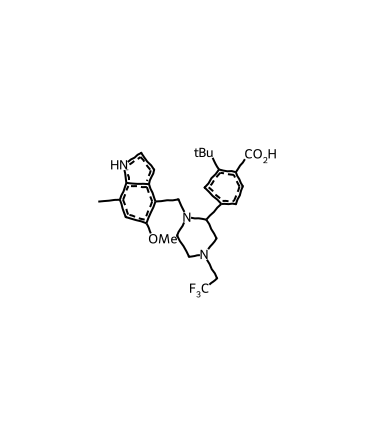 COc1cc(C)c2[nH]ccc2c1CN1CCN(CC(F)(F)F)CC1c1ccc(C(=O)O)c(C(C)(C)C)c1